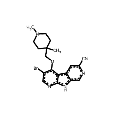 CN1CCC(C)(COc2c(Br)cnc3[nH]c4cnc(C#N)cc4c23)CC1